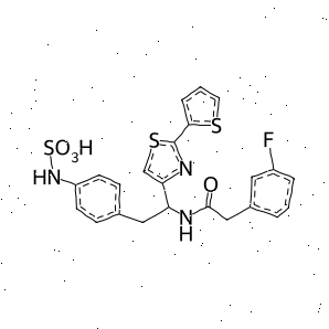 O=C(Cc1cccc(F)c1)NC(Cc1ccc(NS(=O)(=O)O)cc1)c1csc(-c2cccs2)n1